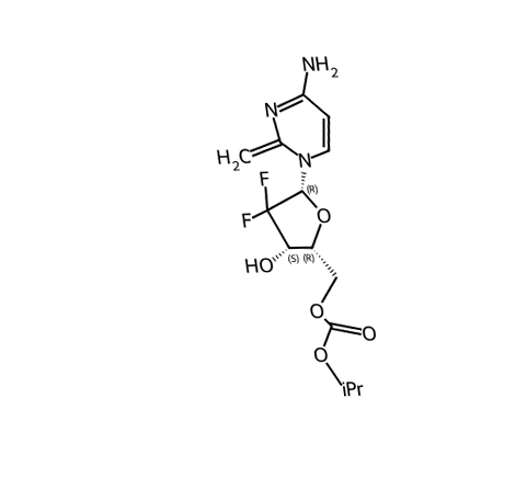 C=C1N=C(N)C=CN1[C@@H]1O[C@H](COC(=O)OC(C)C)[C@H](O)C1(F)F